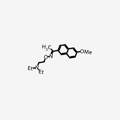 CCN(CC)CCON=C(C)c1ccc2cc(OC)ccc2c1